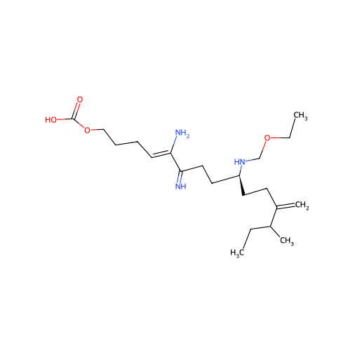 C=C(CC[C@@H](CCC(=N)/C(N)=C/CCCOC(=O)O)NCOCC)C(C)CC